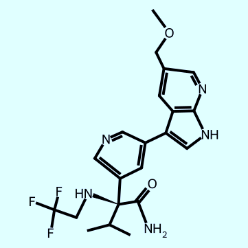 COCc1cnc2[nH]cc(-c3cncc([C@](NCC(F)(F)F)(C(N)=O)C(C)C)c3)c2c1